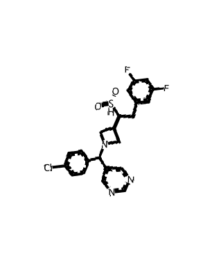 O=[SH](=O)C(Cc1cc(F)cc(F)c1)C1CN(C(c2ccc(Cl)cc2)c2cncnc2)C1